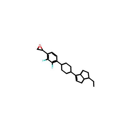 CCC1CCC2C(C3CCC(c4ccc(C5CO5)c(F)c4F)CC3)=CCC12